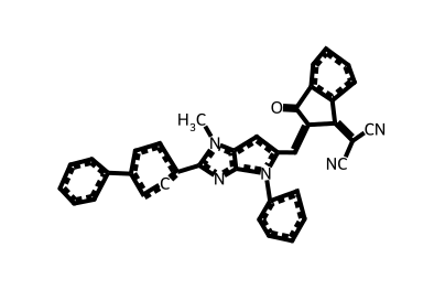 Cn1c(-c2ccc(-c3ccccc3)cc2)nc2c1cc(/C=C1\C(=O)c3ccccc3C1=C(C#N)C#N)n2-c1ccccc1